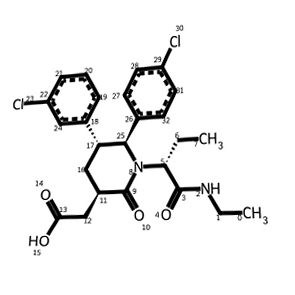 CCNC(=O)[C@@H](CC)N1C(=O)[C@@H](CC(=O)O)C[C@H](c2cccc(Cl)c2)[C@H]1c1ccc(Cl)cc1